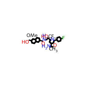 COc1cc(C(=O)NC[C@@](O)(c2cc3c(c(-c4ccc(F)cc4)n2)OC[C@@]3(C)N)C(F)(F)F)cc2ccc(CO)cc12